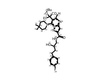 CCC(OC(C)(C)C)(C(=O)O)c1c(C)nc2cc(C(=O)NCC(O)CCc3ccc(F)cc3)nn2c1N1CCC(C)(C)CC1